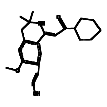 COc1cc2c(cc1C=NO)C(=CC(=O)C1CCCCC1)NC(C)(C)C2